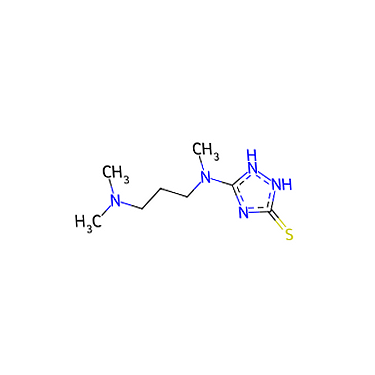 CN(C)CCCN(C)c1nc(=S)[nH][nH]1